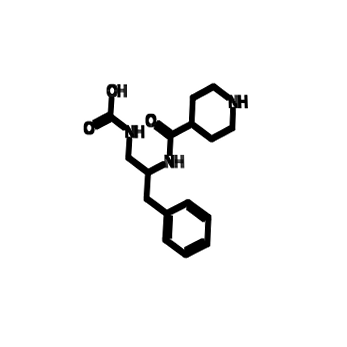 O=C(O)NCC(Cc1ccccc1)NC(=O)C1CCNCC1